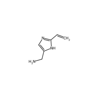 C=Cc1ncc(CN)[nH]1